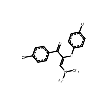 CN(C)C=C(Oc1ccc(Cl)cc1)C(=O)c1ccc(Cl)cc1